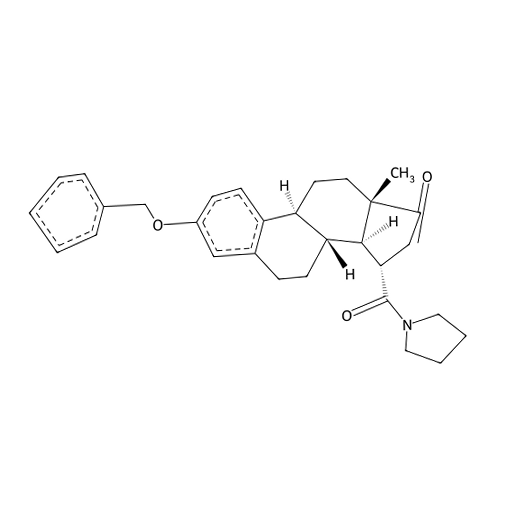 C[C@]12CC[C@@H]3c4ccc(OCc5ccccc5)cc4CC[C@H]3[C@@H]1[C@@H](C(=O)N1CCCC1)CC2=O